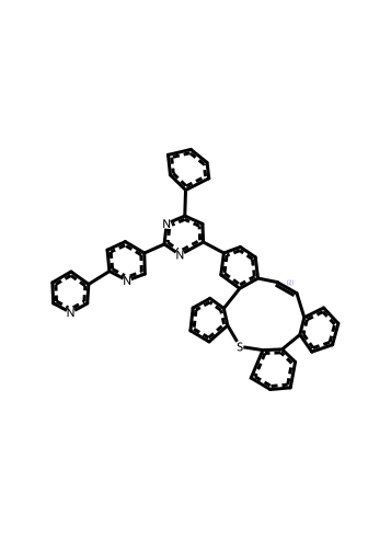 C1=C\c2ccc(-c3cc(-c4ccccc4)nc(-c4ccc(-c5cccnc5)nc4)n3)cc2-c2ccccc2Sc2ccccc2-c2ccccc2/1